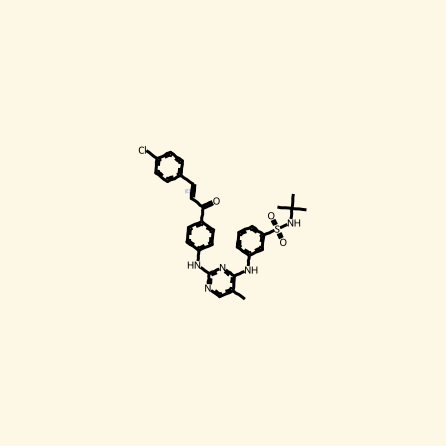 Cc1cnc(Nc2ccc(C(=O)/C=C/c3ccc(Cl)cc3)cc2)nc1Nc1cccc(S(=O)(=O)NC(C)(C)C)c1